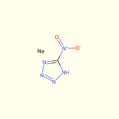 O=[N+]([O-])c1nnn[nH]1.[Na]